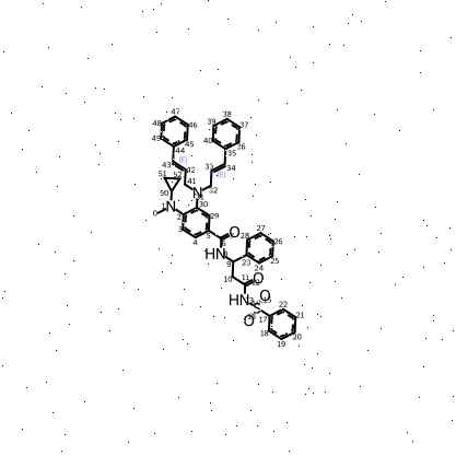 CN(c1ccc(C(=O)NC(CC(=O)NS(=O)(=O)c2ccccc2)c2ccccc2)cc1N(C/C=C/c1ccccc1)C/C=C/c1ccccc1)C1CC1